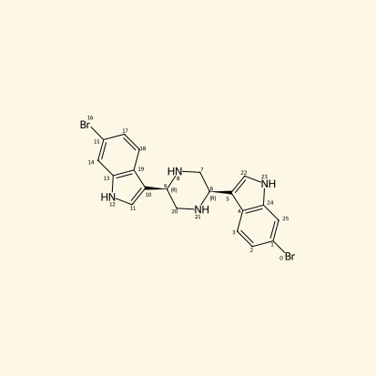 Brc1ccc2c([C@@H]3CN[C@H](c4c[nH]c5cc(Br)ccc45)CN3)c[nH]c2c1